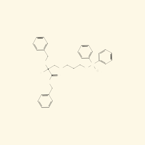 CC(C)(C)[Si](OCCCOCC(OCc1ccccc1)(C(=O)OCc1ccccc1)C(F)(F)F)(c1ccccc1)c1ccccc1